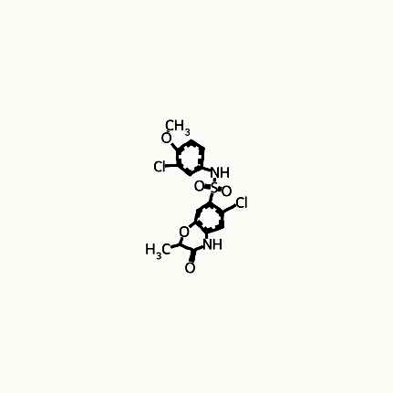 COc1ccc(NS(=O)(=O)c2cc3c(cc2Cl)NC(=O)C(C)O3)cc1Cl